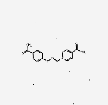 CC(=O)c1ccc(SOSc2ccc(C(C)=O)cc2)cc1